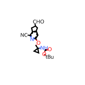 CC(C)(C)OC(=O)NC1(COc2cc3c(c(C#N)n2)CC(C=O)C3)CC1